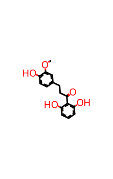 COc1cc(CCC(=O)c2c(O)cccc2O)ccc1O